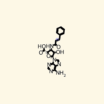 Nc1ncnc2c1ncn2[C@@H]1O[C@H](C(=O)O)[C@@H](NC(=O)/C=C/c2ccccc2)[C@H]1O